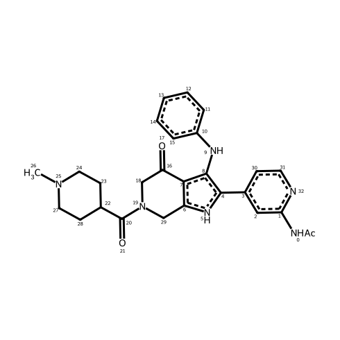 CC(=O)Nc1cc(-c2[nH]c3c(c2Nc2ccccc2)C(=O)CN(C(=O)C2CCN(C)CC2)C3)ccn1